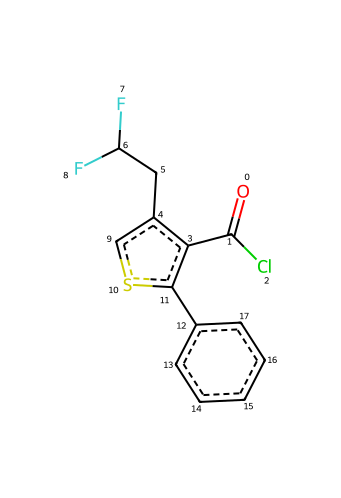 O=C(Cl)c1c(CC(F)F)csc1-c1ccccc1